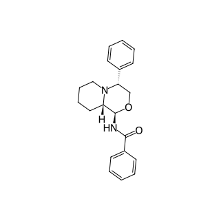 O=C(N[C@@H]1OC[C@@H](c2ccccc2)N2CCCC[C@@H]12)c1ccccc1